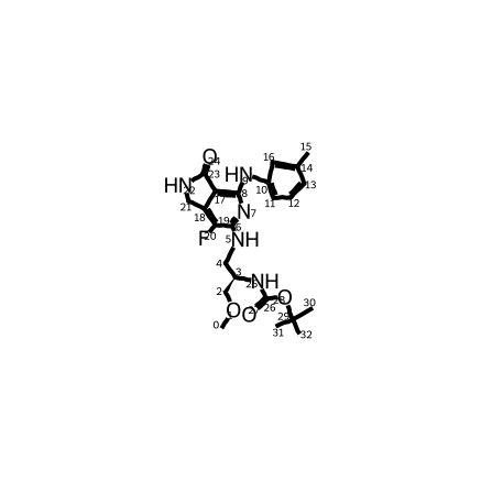 COC[C@@H](CNc1nc(Nc2cccc(C)c2)c2c(c1F)CNC2=O)NC(=O)OC(C)(C)C